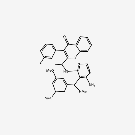 CNC(C1=CC(OC)=CC(OC)C1)c1c(N)ncnc1NC(C)c1oc2ccccc2c(=O)c1-c1cccc(F)c1